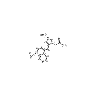 NC(=O)Cn1cc(C(=O)O)s/c1=N\c1ccc(C2CC2)c2ccccc12